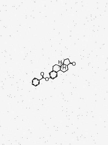 O=C(Oc1ccc2c(c1)CC[C@@H]1C2CCC2C(=O)CC[C@H]21)c1ccccc1